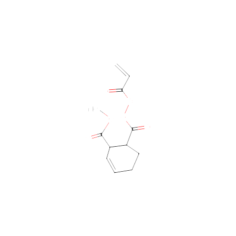 C=CC(=O)OOC(=O)C1CCC=CC1C(=O)OCCC